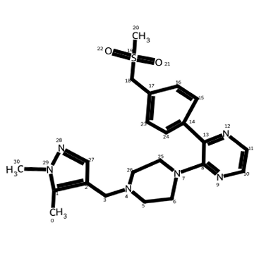 Cc1c(CN2CCN(c3nccnc3-c3ccc(CS(C)(=O)=O)cc3)CC2)cnn1C